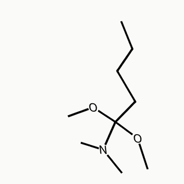 CCCCC(OC)(OC)N(C)C